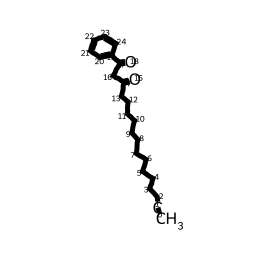 CCCCCCCCCCCCCCC(=O)CC(=O)c1ccccc1